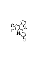 COc1cc2c3c(c4ccc(Cl)cc4[n+](C)c3c1)N(C)c1ccccc1-2.[I-]